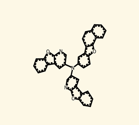 c1ccc2c(c1)ccc1c3cc(N(c4cnc5oc6ccccc6c5c4)c4cnc5oc6ccccc6c5c4)ccc3oc21